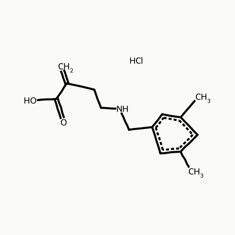 C=C(CCNCc1cc(C)cc(C)c1)C(=O)O.Cl